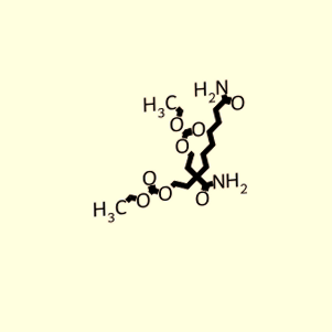 CCOC(=O)OCCC(CCCCCCC(N)=O)(CCOC(=O)OCC)C(N)=O